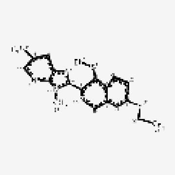 CCSc1c(-c2nc3cc(C(F)(F)F)cnc3n2C)ncc2cc(SCC(F)(F)F)ccc12